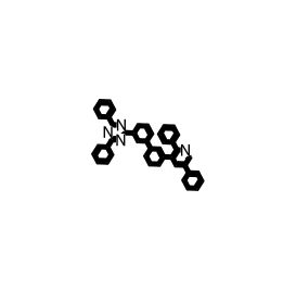 C1=CCCC(c2cnc(-c3ccccc3)c(C3=CC(C4C=CCC(c5nc(C6=CC=CCC6)nc(C6C=CC=CC6)n5)C4)CCC3)c2)=C1